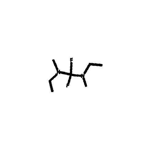 CCN(C)C(F)(F)N(C)CC